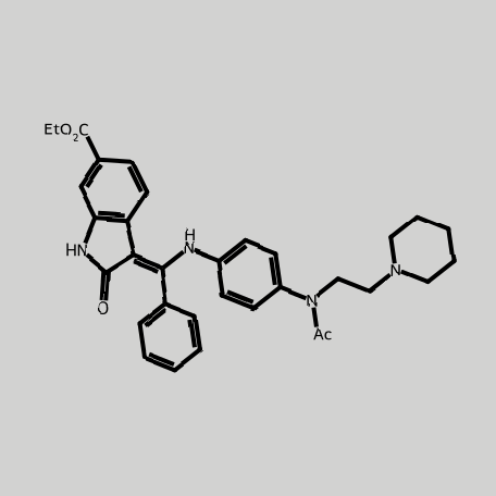 CCOC(=O)c1ccc2c(c1)NC(=O)C2=C(Nc1ccc(N(CCN2CCCCC2)C(C)=O)cc1)c1ccccc1